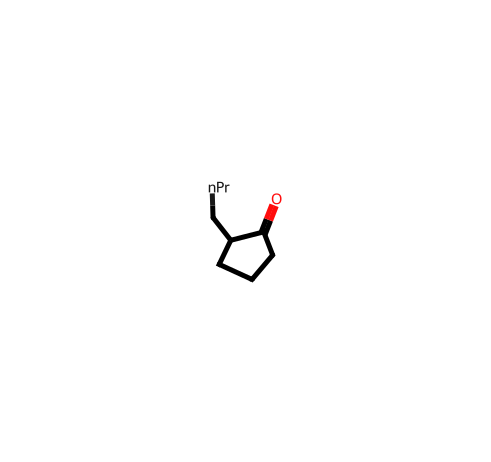 [CH2]CCCC1CCCC1=O